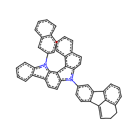 C1=C2c3ccc(-n4c5ccc6ccccc6c5c5c4ccc4c6ccccc6n(-c6ccc7ccccc7c6)c45)cc3-c3cccc(c32)CC1